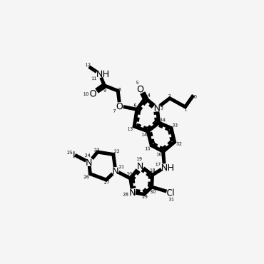 CCCn1c(=O)c(OCC(=O)NC)cc2cc(Nc3nc(N4CCN(I)CC4)ncc3Cl)ccc21